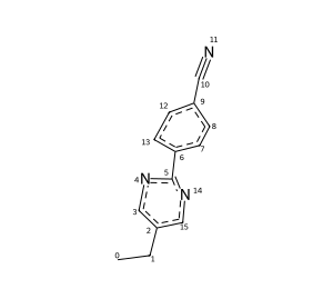 CCc1cnc(-c2ccc(C#N)cc2)nc1